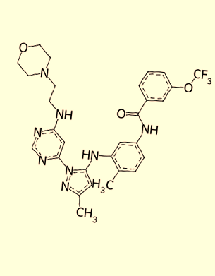 Cc1cc(Nc2cc(NC(=O)c3cccc(OC(F)(F)F)c3)ccc2C)n(-c2cc(NCCN3CCOCC3)ncn2)n1